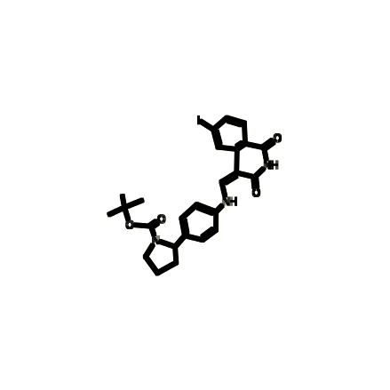 CC(C)(C)OC(=O)N1CCCC1c1ccc(NC=C2C(=O)NC(=O)c3ccc(I)cc32)cc1